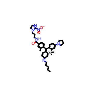 CCCCC/N=C1/C=CC2=C(c3ccc(C(=O)NCCCn4ccnc4[N+](=O)[O-])cc3C)c3ccc(N4CCCC4)cc3[Si](C)(C)C2=C1